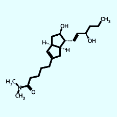 CCC[C@@H](O)/C=C/[C@@H]1[C@H]2CC(CCCCC(=O)N(C)C)=C[C@H]2C[C@H]1O